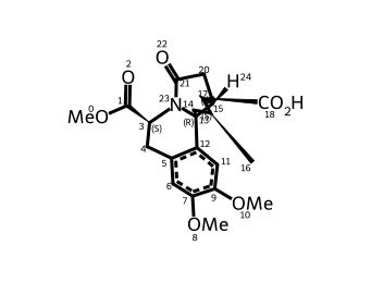 COC(=O)[C@@H]1Cc2cc(OC)c(OC)cc2[C@@]23C[C@H](C)[C@@H](C(=O)O)[C@@H]2CC(=O)N13